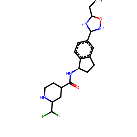 CCC1NC(c2ccc3c(c2)CC[C@H]3NC(=O)C2CCNC(C(F)F)C2)NO1